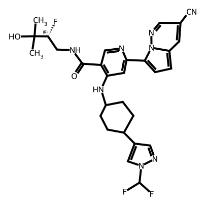 CC(C)(O)[C@H](F)CNC(=O)c1cnc(-c2ccc3cc(C#N)cnn23)cc1NC1CCC(c2cnn(C(F)F)c2)CC1